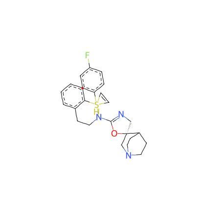 Fc1ccc([SH]23(C=C2)c2ccccc2CCN3C2=NC[C@]3(CN4CCC3CC4)O2)cc1